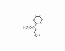 O=C(O)N(CCO)C1CCCCC1